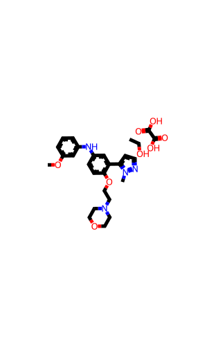 CCO.COc1cccc(Nc2ccc(OCCN3CCOCC3)c(-c3ccnn3C)c2)c1.O=C(O)C(=O)O